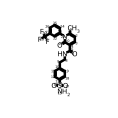 Cc1ccc(C(=O)NCCc2ccc(S(N)(=O)=O)cc2)c(=O)n1-c1cccc(C(F)(F)F)c1